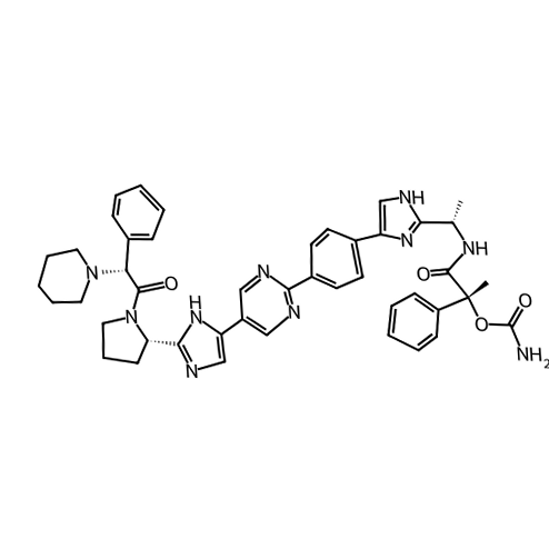 C[C@H](NC(=O)[C@](C)(OC(N)=O)c1ccccc1)c1nc(-c2ccc(-c3ncc(-c4cnc([C@@H]5CCCN5C(=O)[C@@H](c5ccccc5)N5CCCCC5)[nH]4)cn3)cc2)c[nH]1